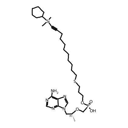 C[C@H](Cn1cnc2c(N)ncnc21)OCP(=O)(O)OCCCSCCCCCCCCCC#C[Si](C)(C)C1CCCCC1